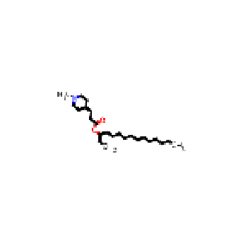 [CH2]CC(CCCCCCCCCCCC)OC(=O)CCC1CCN(C)CC1